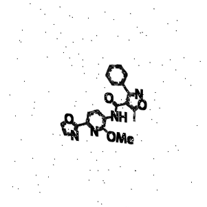 COc1nc(-c2ncco2)ccc1NC(=O)c1c(-c2ccccc2)noc1C